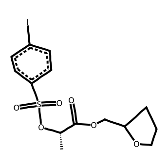 C[C@H](OS(=O)(=O)c1ccc(I)cc1)C(=O)OCC1CCCO1